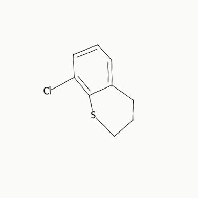 Clc1cccc2c1SCCC2